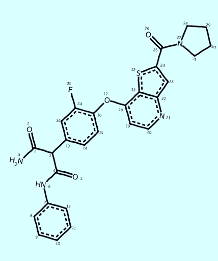 NC(=O)C(C(=O)Nc1ccccc1)c1ccc(Oc2ccnc3cc(C(=O)N4CCCC4)sc23)c(F)c1